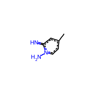 Cc1ccn(N)c(=N)c1